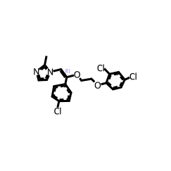 Cc1nccn1/C=C(/OCCOc1ccc(Cl)cc1Cl)c1ccc(Cl)cc1